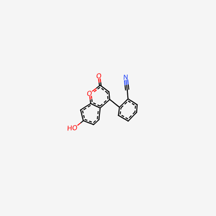 N#Cc1ccccc1-c1cc(=O)oc2cc(O)ccc12